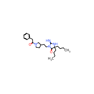 CCCCC1(CCCC)NC(=N)N(CCC2CCN(C(=O)Cc3ccccc3)C2)C1=O